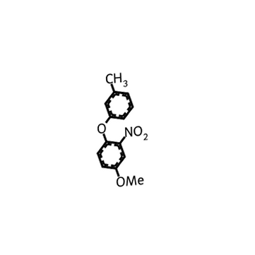 COc1ccc(Oc2cccc(C)c2)c([N+](=O)[O-])c1